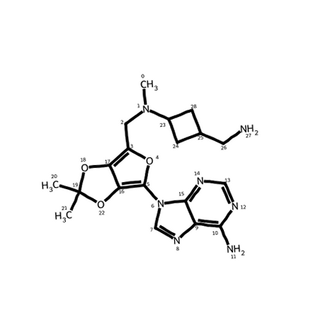 CN(Cc1oc(-n2cnc3c(N)ncnc32)c2c1OC(C)(C)O2)C1CC(CN)C1